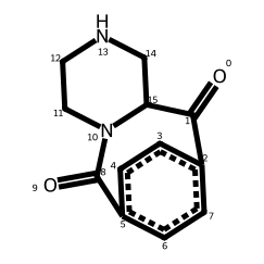 O=C1c2ccc(cc2)C(=O)N2CCNCC12